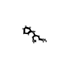 C=CCC(CC#N)Oc1ccccc1